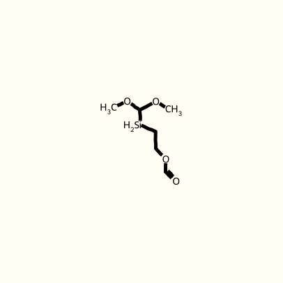 COC(OC)[SiH2]CCOC=O